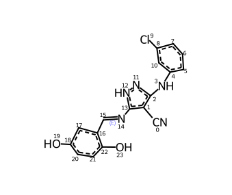 N#Cc1c(Nc2cccc(Cl)c2)n[nH]c1/N=C/c1cc(O)ccc1O